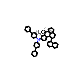 CC1(C)c2cc(N(c3ccc(-c4ccccc4)cc3)c3ccc(-c4ccccc4)cc3)ccc2-c2c(-c3cccc4ccccc34)ccc3cccc1c23